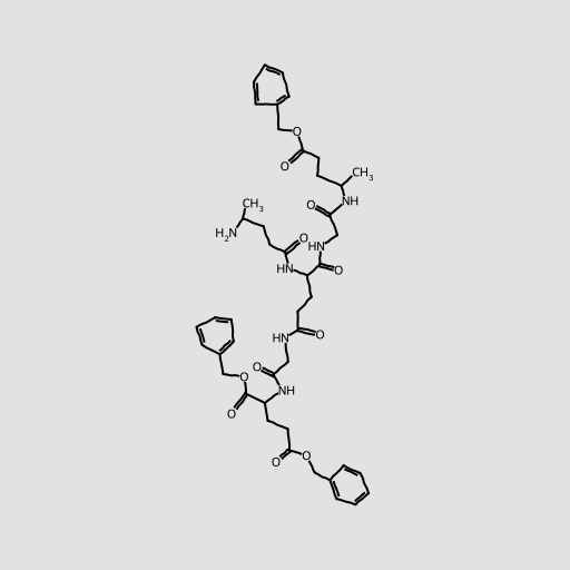 CC(N)CCC(=O)NC(CCC(=O)NCC(=O)NC(CCC(=O)OCc1ccccc1)C(=O)OCc1ccccc1)C(=O)NCC(=O)NC(C)CCC(=O)OCc1ccccc1